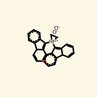 C1=CC2=[C]([Hf+2]3([C]4=C5C=CC=CC5c5ccccc54)[CH2][CH2]3)c3ccccc3C2C=C1.[Cl-].[Cl-]